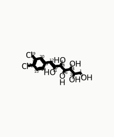 OCC(O)C(O)C(O)C(O)C(O)=Cc1ccc(Cl)c(Cl)c1